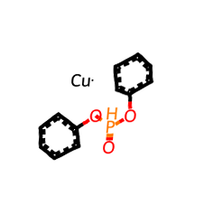 O=[PH](Oc1ccccc1)Oc1ccccc1.[Cu]